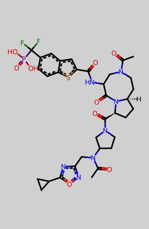 CC(=O)N1CC[C@H]2CC[C@@H](C(=O)N3CCC(N(Cc4noc(C5CC5)n4)C(C)=O)C3)N2C(=O)C(NC(=O)c2cc3cc(C(F)(F)P(=O)(O)O)ccc3s2)C1